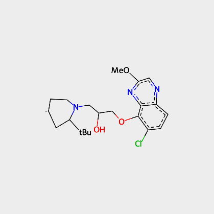 COc1cnc2ccc(Cl)c(OCC(O)CN3CC[CH]CC3C(C)(C)C)c2n1